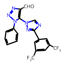 O=Cc1nnn(-c2ccccc2)c1-n1cnc(-c2cc(C(F)(F)F)cc(C(F)(F)F)c2)n1